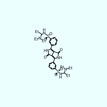 CCC(NS(=O)(=O)c1cccc(C2=C3C(=O)NC(c4cccc(S(=O)(=O)NC(CC)N(CC)CC)c4)=C3C(=O)N2)c1)N(CC)CC